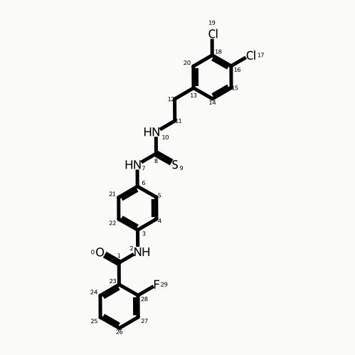 O=C(Nc1ccc(NC(=S)NCCc2ccc(Cl)c(Cl)c2)cc1)c1ccccc1F